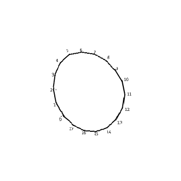 [CH]1C[CH]CCCCCCCCCCCCCCC1